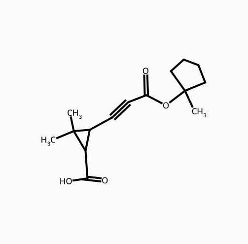 CC1(OC(=O)C#CC2C(C(=O)O)C2(C)C)CCCC1